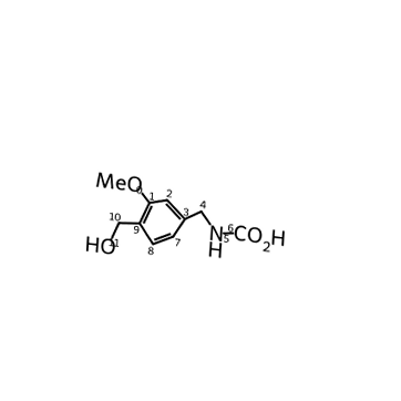 COc1cc(CNC(=O)O)ccc1CO